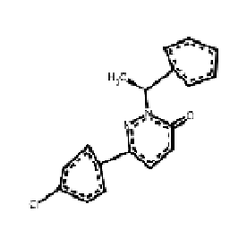 C[C@@H](c1ccccc1)n1nc(-c2ccc(Cl)cc2)ccc1=O